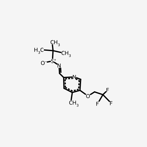 Cc1cc(C=N[S+]([O-])C(C)(C)C)ncc1OCC(F)(F)F